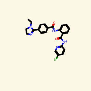 CCN1CCN=C1c1ccc(C(=O)Nc2ccccc2C(=O)Nc2ccc(Br)cn2)cc1